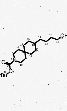 CC(C)(C)OC(=O)N1CCC2(CCC(CCCCO)CC2)CC1